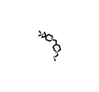 CSCN1CCC(CN2CCC3(CC2)C[N+](C)(C)C3)CC1